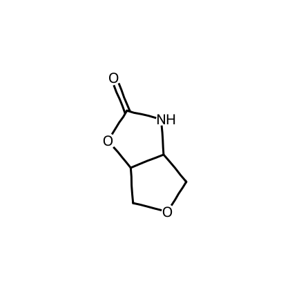 O=C1NC2COCC2O1